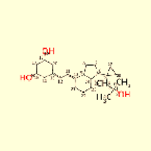 CC(C)(O)CC1(C2CCC3/C(=C/C=C4/CC(O)C[C@H](O)C4)CCC[C@@]32C)CC1